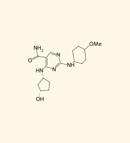 COC1CCC(Nc2ncc(C(N)=O)c(N[C@@H]3CC[C@H](O)C3)n2)CC1